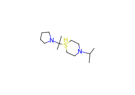 CC(C)N1CC[SH](C(C)(C)N2CCCC2)CC1